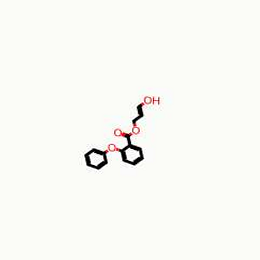 O=C(OCC=CO)c1ccccc1Oc1ccccc1